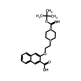 CC(C)(C)OC(=N)N1CCN(CCOc2cc3ccccc3cc2C(=O)O)CC1